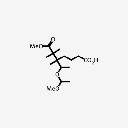 COC(=O)C(C)(C)C(C)(CCCC(=O)O)C(C)OC(C)OC